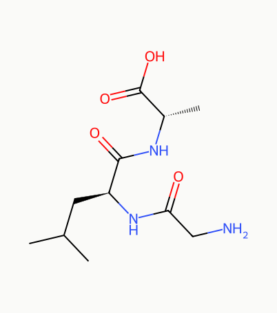 CC(C)C[C@H](NC(=O)CN)C(=O)N[C@@H](C)C(=O)O